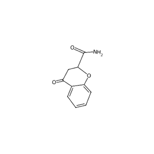 NC(=O)C1CC(=O)c2ccccc2O1